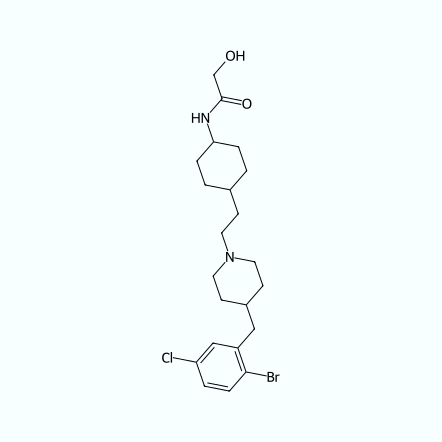 O=C(CO)NC1CCC(CCN2CCC(Cc3cc(Cl)ccc3Br)CC2)CC1